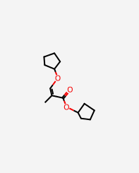 CC(=COC1CCCC1)C(=O)OC1CCCC1